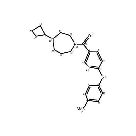 CSc1ccc(Sc2ccc(C(=O)N3CCCN(C4CCC4)CC3)cn2)cc1